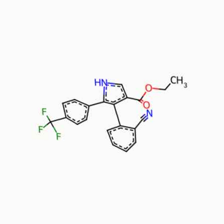 CCOC(=O)c1c[nH]c(-c2ccc(C(F)(F)F)cc2)c1-c1ccccc1C#N